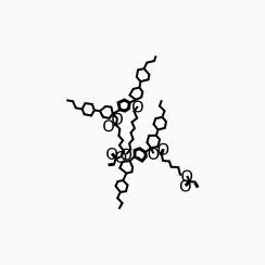 C=CC(=O)OCCCCCC(=O)OC1(c2ccc(C3(OCCCCCCCCOC4(c5ccc(C6(OC(=O)CCCCCOC(=O)C=C)CCC(C7CCC(CCC)CC7)CC6)cc5)CCC(C5CCC(CCC)CC5)CC4)CCC(C4CCC(CCC)CC4)CC3)cc2)CCC(C2CCC(CCC)CC2)CC1